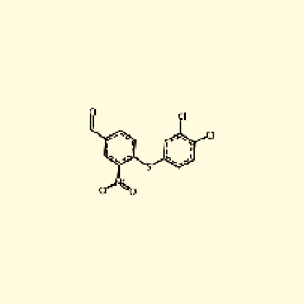 O=Cc1ccc(Sc2ccc(Cl)c(Cl)c2)c([N+](=O)[O-])c1